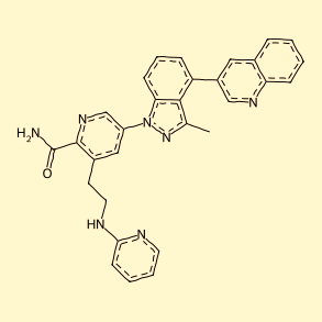 Cc1nn(-c2cnc(C(N)=O)c(CCNc3ccccn3)c2)c2cccc(-c3cnc4ccccc4c3)c12